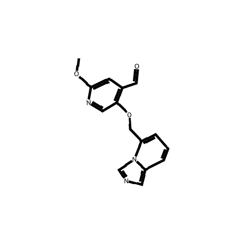 COc1cc(C=O)c(OCc2cccc3cncn23)cn1